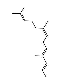 C/C=C/C(C)=C/C/C=C(/C)CCC=C(C)C